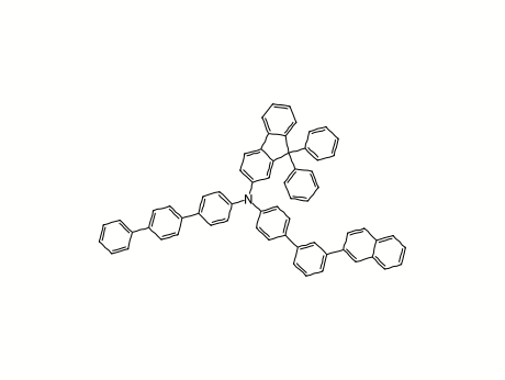 c1ccc(-c2ccc(-c3ccc(N(c4ccc(-c5cccc(-c6ccc7ccccc7c6)c5)cc4)c4ccc5c(c4)C(c4ccccc4)(c4ccccc4)c4ccccc4-5)cc3)cc2)cc1